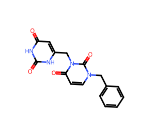 O=c1cc(Cn2c(=O)ccn(Cc3ccccc3)c2=O)[nH]c(=O)[nH]1